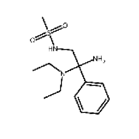 CCN(CC)C(N)(CNS(C)(=O)=O)c1ccccc1